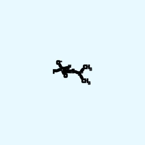 CS[S+](C)C.O=P([O-])(F)F